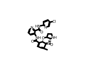 CC1=CC=C(C(=O)Nc2cccnc2C(=O)Nc2ccc(Cl)cn2)[C@H](OC2CCNC2)C1=S(=O)=O